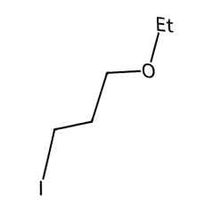 CCOCCCI